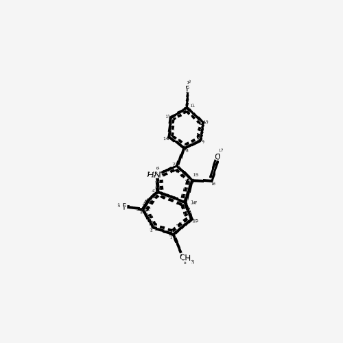 Cc1cc(F)c2[nH]c(-c3ccc(F)cc3)c(C=O)c2c1